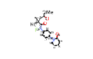 COC(=O)C1CC1(C#N)C(=O)N(F)c1ccc(-n2ccccc2=O)cc1